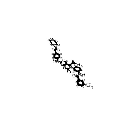 Cc1ccc(NC(=O)c2cccc(C(F)(F)F)c2)cc1-n1c(C2CC2)c2cnc(Nc3ccc(CCN4CCOCC4)cc3)nc2nc1=O